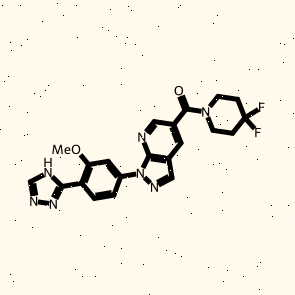 COc1cc(-n2ncc3cc(C(=O)N4CCC(F)(F)CC4)cnc32)ccc1-c1nnc[nH]1